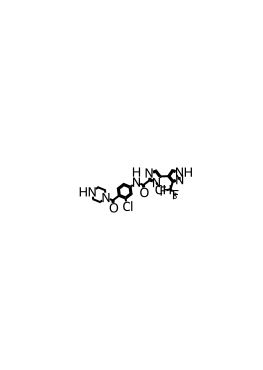 Cn1c(-c2c[nH]nc2C(F)F)cnc1C(=O)Nc1ccc(C(=O)N2CCNCC2)c(Cl)c1